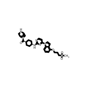 CS(=O)(=O)CCCOc1cccc2c1ccn2-c1ccnc(N[C@H]2CC[C@H](C(=O)N3CC4CC3CN4)CC2)n1